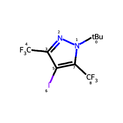 CC(C)(C)n1nc(C(F)(F)F)c(I)c1C(F)(F)F